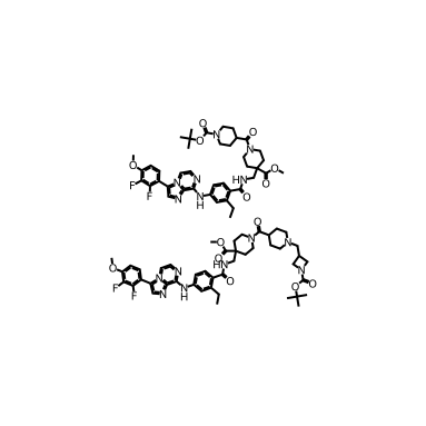 CCc1cc(Nc2nccn3c(-c4ccc(OC)c(F)c4F)cnc23)ccc1C(=O)NCC1(C(=O)OC)CCN(C(=O)C2CCN(C(=O)OC(C)(C)C)CC2)CC1.CCc1cc(Nc2nccn3c(-c4ccc(OC)c(F)c4F)cnc23)ccc1C(=O)NCC1(C(=O)OC)CCN(C(=O)C2CCN(CC3CN(C(=O)OC(C)(C)C)C3)CC2)CC1